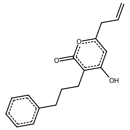 C=CCc1cc(O)c(CCCc2ccccc2)c(=O)o1